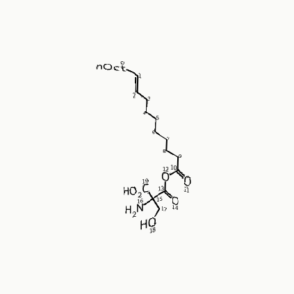 CCCCCCCCC=CCCCCCCCC(=O)OC(=O)C(N)(CO)C(=O)O